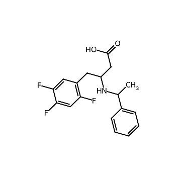 CC(NC(CC(=O)O)Cc1cc(F)c(F)cc1F)c1ccccc1